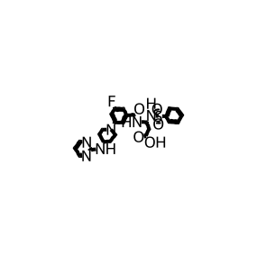 O=C(O)CC(NC(=O)c1cc(F)cc(N2CCC(Nc3ncccn3)CC2)c1)NS(=O)(=O)c1ccccc1